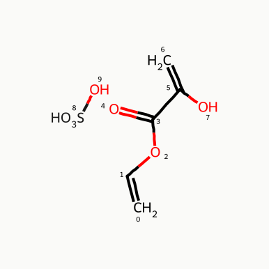 C=COC(=O)C(=C)O.O=S(=O)(O)O